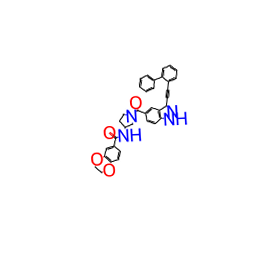 O=C(NC1CCN(C(=O)c2ccc3[nH]nc(C#Cc4ccccc4-c4ccccc4)c3c2)C1)c1ccc2c(c1)OCCO2